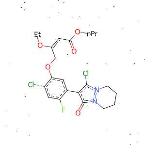 CCCOC(=O)/C=C(\COc1cc(-c2c(Cl)n3n(c2=O)CCCC3)c(F)cc1Cl)OCC